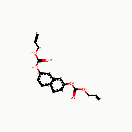 C=CCOC(=O)Oc1ccc2ccc(OC(=O)OCC=C)cc2c1